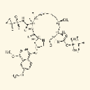 COc1ccc2c(O[C@@H]3C[C@H]4C(=O)N[C@]5(C(=O)NS(=O)(=O)C6(Cl)CC6)C[C@H]5/C=C\CC[C@@H](C)C[C@@H](C)[C@H](NC(=O)OC(C)(C)C(F)(F)F)C(=O)N4C3)ncc(OC)c2c1